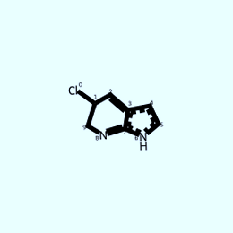 ClC1C=c2cc[nH]c2=NC1